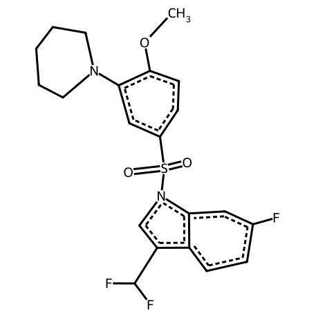 COc1ccc(S(=O)(=O)n2cc(C(F)F)c3ccc(F)cc32)cc1N1CCCCC1